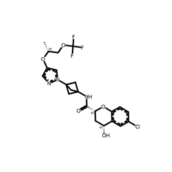 C[C@H](COC(F)(F)F)Oc1cnn(C23CC(NC(=O)[C@H]4C[C@@H](O)c5cc(Cl)ccc5O4)(C2)C3)c1